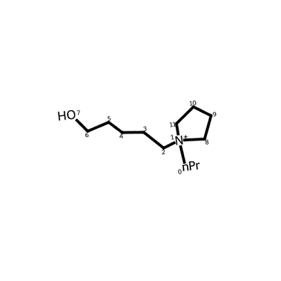 CCC[N+]1(CCCCCO)CCCC1